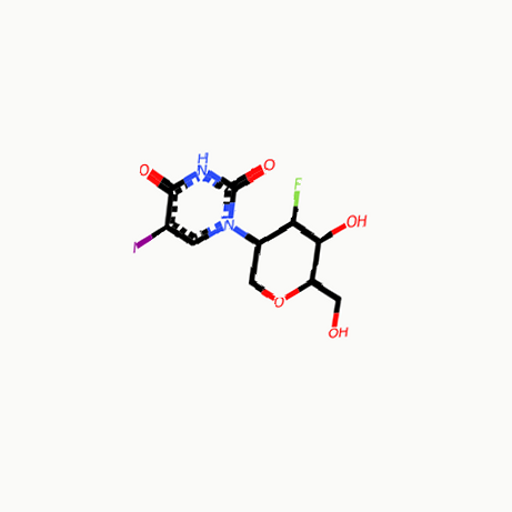 O=c1[nH]c(=O)n(C2COC(CO)C(O)C2F)cc1I